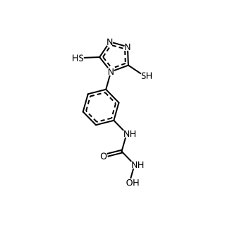 O=C(NO)Nc1cccc(-n2c(S)nnc2S)c1